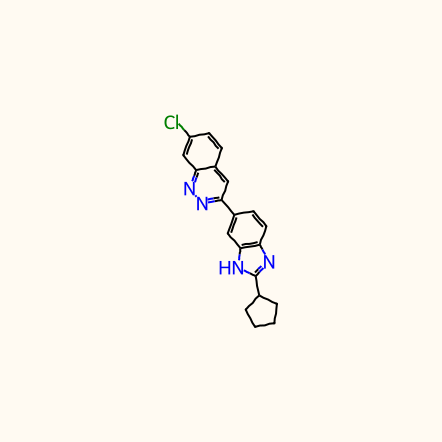 Clc1ccc2cc(-c3ccc4nc(C5CCCC5)[nH]c4c3)nnc2c1